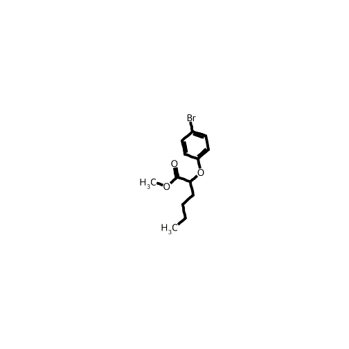 CCCCC(Oc1ccc(Br)cc1)C(=O)OC